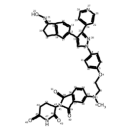 CN(CCOc1ccc(-n2cc(-c3ccc4c(c3)CCC4=NO)c(-c3ccncc3)n2)cc1)c1ccc2c(c1)C(=O)N(C1CCC(=O)NC1=O)C2=O